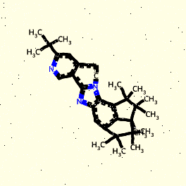 CC(C)(C)c1cc2ccn3c(nc4cc5c6c(c43)C(C)(C)C(C)(C)C6(C)C(C)(C)C5(C)C)c2cn1